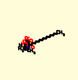 CCCCCCCCCCCCCCC(O)C(=O)C(O)(CC(=O)[O-])C[N+](C)(C)C